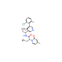 Cc1ccn(C(CC(C)C)C(=O)NC(CC(=O)O)c2cncc(-c3c(C)cccc3Cl)c2)c(=O)c1